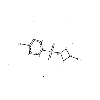 O=S(=O)(c1ccc(Br)cc1)N1CC(F)C1